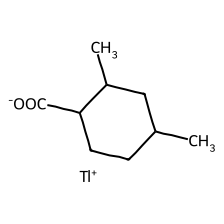 CC1CCC(C(=O)[O-])C(C)C1.[Tl+]